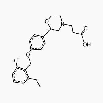 CCc1cccc(Cl)c1COc1ccc(C2CN(CCC(=O)O)CCO2)cc1